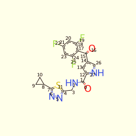 O=C(NCc1nnc(C2CC2)s1)c1cc(C(=O)c2c(F)cc(F)cc2F)c[nH]1